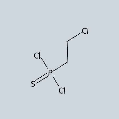 S=P(Cl)(Cl)CCCl